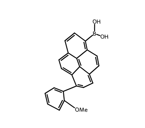 COc1ccccc1-c1ccc2ccc3c(B(O)O)ccc4ccc1c2c43